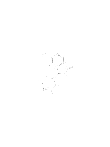 CCc1ccc2[nH]cc(C3CCNC(C)C3)c2c1